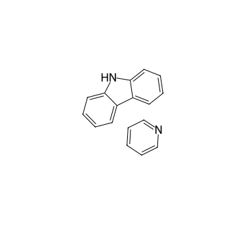 c1ccc2c(c1)[nH]c1ccccc12.c1ccncc1